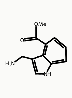 COC(=O)c1cccc2[nH]cc(CN)c12